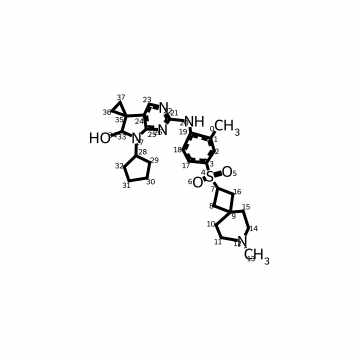 Cc1cc(S(=O)(=O)C2CC3(CCN(C)CC3)C2)ccc1Nc1ncc2c(n1)N(C1CCCC1)C(O)C21CC1